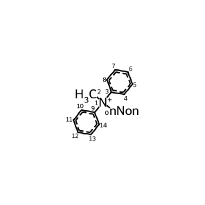 CCCCCCCCC[N+](C)(c1ccccc1)c1ccccc1